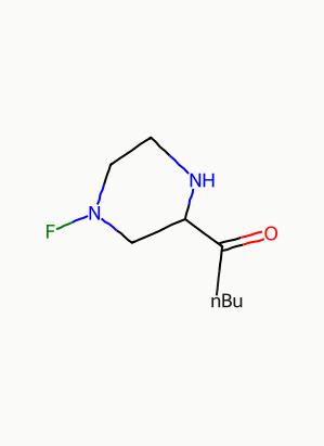 CCCCC(=O)C1CN(F)CCN1